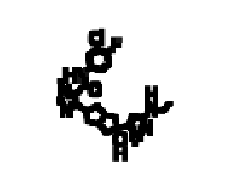 CCNc1cc(C2(O)CC3CC(c4ncn(C)c4C(=O)Nc4ccc(F)c(Cl)c4)CC3C2)n(C)n1